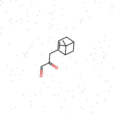 CC1(C)C2CC=C(CC(=O)C=O)C1C2